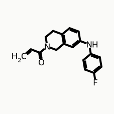 C=CC(=O)N1CCc2ccc(Nc3ccc(F)cc3)cc2C1